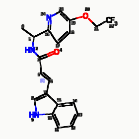 CC(NC(=O)/C=C/c1c[nH]c2ccccc12)c1ccc(OCC(F)(F)F)cn1